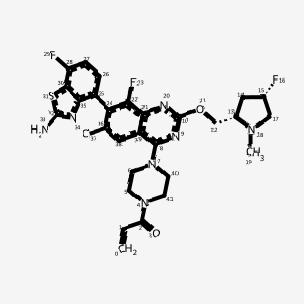 C=CC(=O)N1CCN(c2nc(OC[C@@H]3C[C@H](F)CN3C)nc3c(F)c(-c4ccc(F)c5sc(N)nc45)c(Cl)cc23)CC1